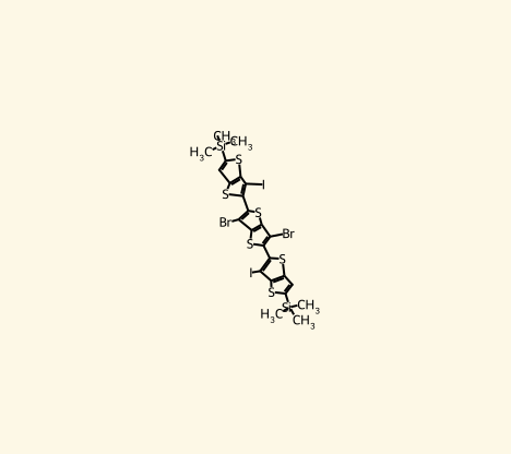 C[Si](C)(C)c1cc2sc(-c3sc4c(Br)c(-c5sc6cc([Si](C)(C)C)sc6c5I)sc4c3Br)c(I)c2s1